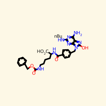 CCCCNc1nc(N)c2nc(O)n(Cc3ccc(C(=O)NC(CCCCNC(=O)OCc4ccccc4)C(=O)O)cc3)c2n1